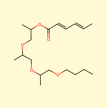 CC=CC=CC(=O)OC(C)COC(C)COC(C)COCCCC